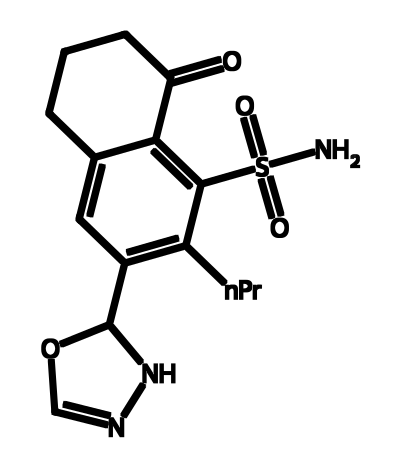 CCCc1c(C2NN=CO2)cc2c(c1S(N)(=O)=O)C(=O)CCC2